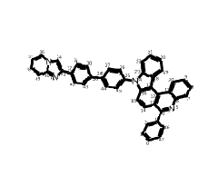 c1ccc(-c2nc3ccccc3c3c2ccc2c3c3ccccc3n2-c2ccc(-c3ccc(-c4cn5ccccc5n4)cc3)cc2)cc1